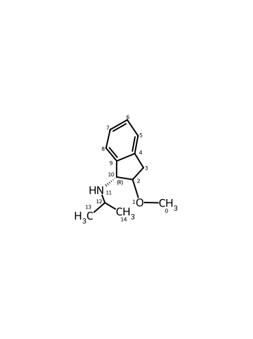 COC1Cc2ccccc2[C@H]1NC(C)C